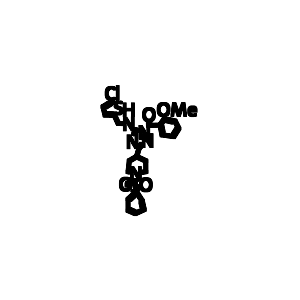 COc1ccccc1C(=O)n1nc(C2CCN(S(=O)(=O)c3ccccc3)CC2)nc1NCc1ccc(Cl)s1